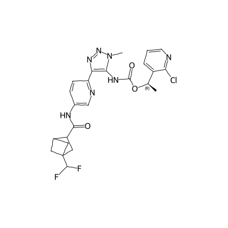 C[C@@H](OC(=O)Nc1c(-c2ccc(NC(=O)C3CC4(C(F)F)CC3C4)cn2)nnn1C)c1cccnc1Cl